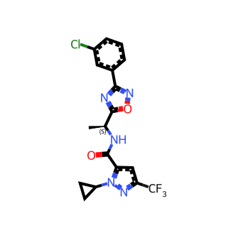 C[C@H](NC(=O)c1cc(C(F)(F)F)nn1C1CC1)c1nc(-c2cccc(Cl)c2)no1